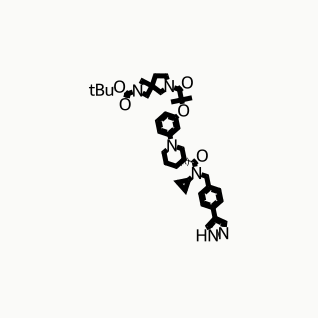 CC(C)(C)OC(=O)N1CC2(CCN(C(=O)C(C)(C)Oc3cccc(N4CCC[C@@H](C(=O)N(Cc5ccc(-c6cn[nH]c6)cc5)C5CC5)C4)c3)C2)C1